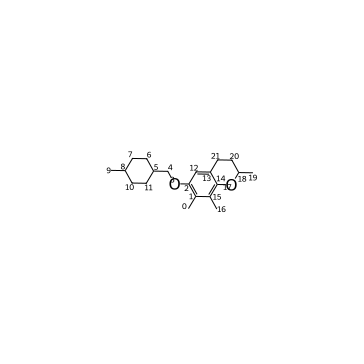 Cc1c(OCC2CCC(C)CC2)cc2c(c1C)OC(C)CC2